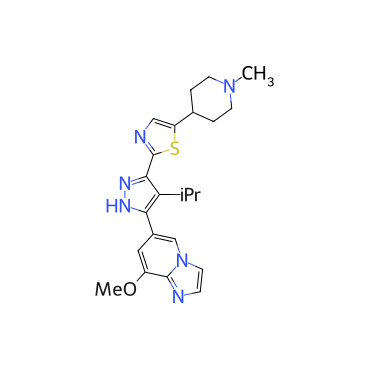 COc1cc(-c2[nH]nc(-c3ncc(C4CCN(C)CC4)s3)c2C(C)C)cn2ccnc12